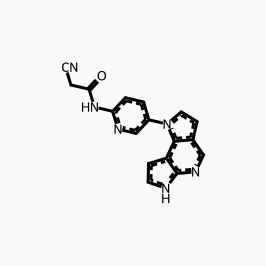 N#CCC(=O)Nc1ccc(-n2ccc3cnc4[nH]ccc4c32)cn1